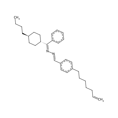 C=CCCCCCc1ccc(C=NN=C(c2ccccc2)[C@H]2CC[C@H](CCCC)CC2)cc1